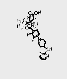 CC(C)(C)C(N)(CC(=O)O)NC(=O)c1ccc(N2CCC(Nc3ncccn3)CC2)c(F)c1F